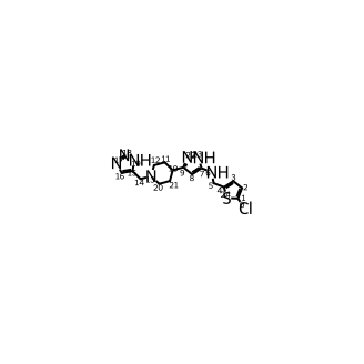 Clc1ccc(CNc2cc(C3CCN(Cc4cnn[nH]4)CC3)n[nH]2)s1